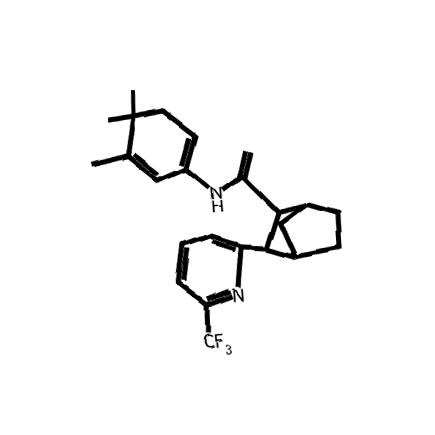 C=C(NC1=CCC(C)(C)C(C)=C1)C1C2CCC(C2)C1c1cccc(C(F)(F)F)n1